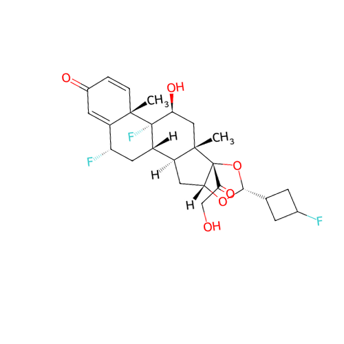 C[C@]12C=CC(=O)C=C1[C@@H](F)C[C@H]1[C@@H]3C[C@H]4O[C@@H](C5CC(F)C5)O[C@@]4(C(=O)CO)[C@@]3(C)C[C@H](O)[C@@]12F